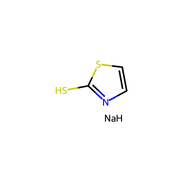 Sc1nccs1.[NaH]